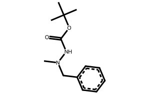 CN(Cc1ccccc1)NC(=O)OC(C)(C)C